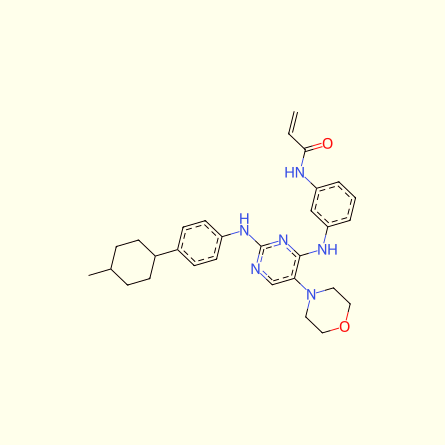 C=CC(=O)Nc1cccc(Nc2nc(Nc3ccc(C4CCC(C)CC4)cc3)ncc2N2CCOCC2)c1